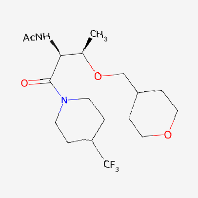 CC(=O)N[C@H](C(=O)N1CCC(C(F)(F)F)CC1)[C@@H](C)OCC1CCOCC1